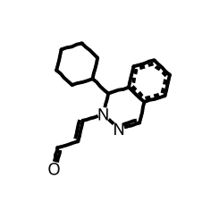 O=CC=CN1N=Cc2ccccc2C1C1CCCCC1